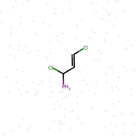 PC(Cl)C=CCl